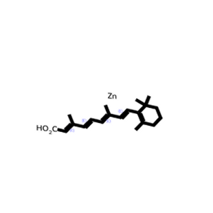 CC1=C(/C=C/C(C)=C/C=C/C(C)=C/C(=O)O)C(C)(C)CCC1.[Zn]